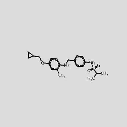 Cc1cc(OCC2CC2)ccc1NCc1ccc(NS(=O)(=O)C(C)C)cc1